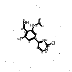 CC(C)Nc1cc(-c2ccnc(Cl)n2)cc(F)c1C=N